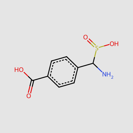 NC(c1ccc(C(=O)O)cc1)S(=O)O